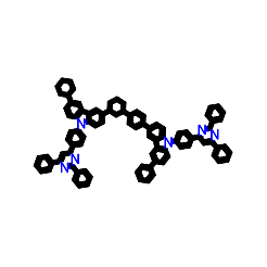 c1ccc(-c2ccc3c(c2)c2cc(-c4ccc(C5CCCC(c6ccc7c(c6)c6cc(C8CCCCC8)ccc6n7-c6ccc(-c7cc(-c8ccccc8)nc(-c8ccccc8)n7)cc6)C5)cc4)ccc2n3-c2ccc(-c3cc(-c4ccccc4)nc(-c4ccccc4)n3)cc2)cc1